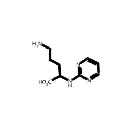 NCCCC(Nc1ncccn1)C(=O)O